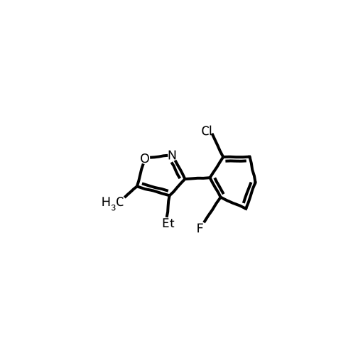 CCc1c(-c2c(F)cccc2Cl)noc1C